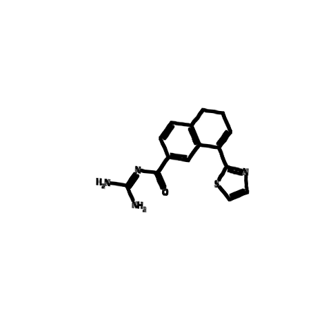 NC(N)=NC(=O)c1ccc2c(c1)C(c1nccs1)=CCC2